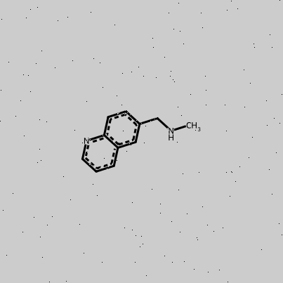 CNCc1ccc2ncccc2c1